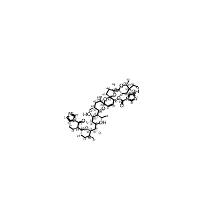 CC[C@@H]([C@H](O)[C@@H](C)[C@@H](O)[C@H](C)[C@@H]1O[C@@H]([C@@H](CC)C(=O)n2ccnc2)CC[C@@H]1C)[C@H]1O[C@]2(C=C[C@@H](OC(=O)n3ccnc3)[C@]3(CC[C@@](C)([C@H]4CC[C@](O)(CC)[C@H](C)O4)O3)O2)[C@H](C)C[C@@H]1C